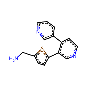 NCc1ccc(-c2cnccc2-c2cccnc2)s1